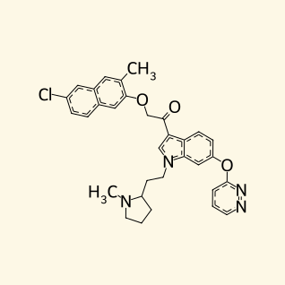 Cc1cc2cc(Cl)ccc2cc1OCC(=O)c1cn(CCC2CCCN2C)c2cc(Oc3cccnn3)ccc12